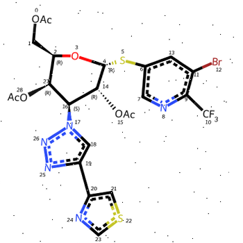 CC(=O)OC[C@H]1O[C@H](Sc2cnc(C(F)(F)F)c(Br)c2)[C@H](OC(C)=O)[C@@H](n2cc(-c3cscn3)nn2)[C@H]1OC(C)=O